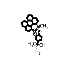 Cn1c2ccc3ccccc3c2c2c3ccccc3ccc2n(C)p1Oc1ccc(C(C)(C)C)cc1